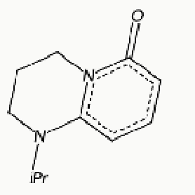 CC(C)N1CCCn2c1cccc2=O